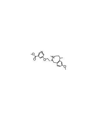 COC(=O)c1cncc(OCC[C@H]2Cc3ccc(OC)cc3C(C)CCN2C)c1